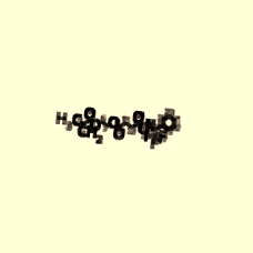 C=C(C)C(=O)OCCOC(=O)CCC(=O)O/N=C(/c1ccccc1)C(F)(F)F